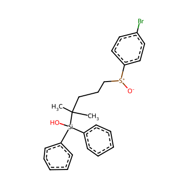 CC(C)(CCC[S+]([O-])c1ccc(Br)cc1)[Si](O)(c1ccccc1)c1ccccc1